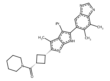 Cc1c(-c2[nH]c3sc([C@H]4C[C@@H](C(=O)N5CCCCC5)C4)c(C)c3c2C(C)C)cn2ncnc2c1C